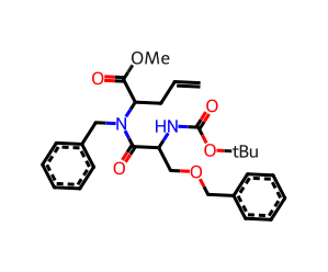 C=CCC(C(=O)OC)N(Cc1ccccc1)C(=O)C(COCc1ccccc1)NC(=O)OC(C)(C)C